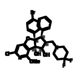 COc1nc(Cl)cc2c1[C@]1(O)[C@H](O)[C@H](CN3CCC(F)(F)CC3)[C@@H](c3ccccc3)[C@]1(c1ccc(Br)cc1)O2